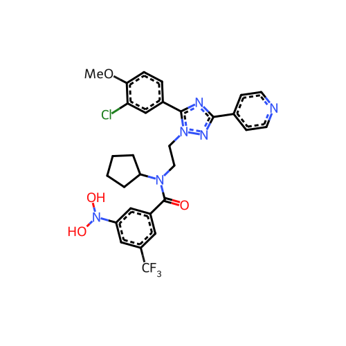 COc1ccc(-c2nc(-c3ccncc3)nn2CCN(C(=O)c2cc(N(O)O)cc(C(F)(F)F)c2)C2CCCC2)cc1Cl